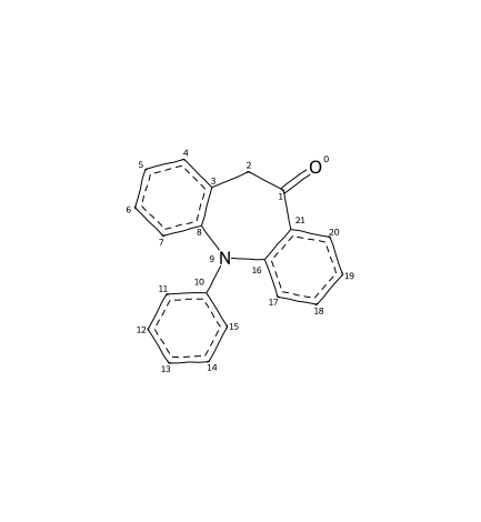 O=C1Cc2ccccc2N(c2ccccc2)c2ccccc21